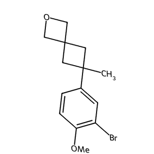 COc1ccc(C2(C)CC3(COC3)C2)cc1Br